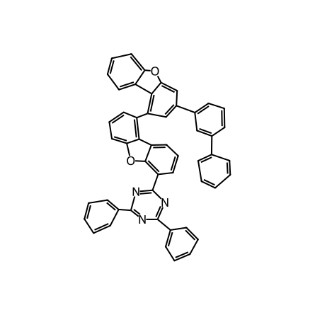 c1ccc(-c2cccc(-c3cc(-c4cccc5oc6c(-c7nc(-c8ccccc8)nc(-c8ccccc8)n7)cccc6c45)c4c(c3)oc3ccccc34)c2)cc1